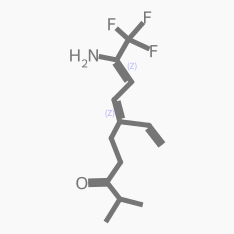 C=C/C(=C\C=C(/N)C(F)(F)F)CCC(=O)C(C)C